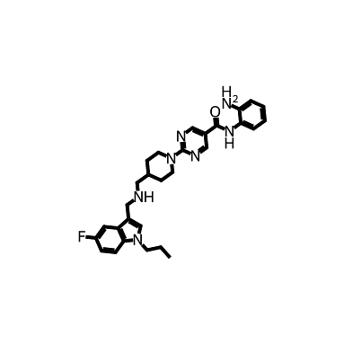 CCCn1cc(CNCC2CCN(c3ncc(C(=O)Nc4ccccc4N)cn3)CC2)c2cc(F)ccc21